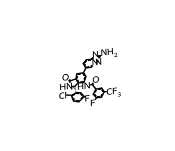 Nc1nc2ccc(-c3cc(NC(=O)c4cc(F)cc(C(F)(F)F)c4)c4c(c3)C(=O)N[C@H]4c3cc(F)ccc3Cl)cn2n1